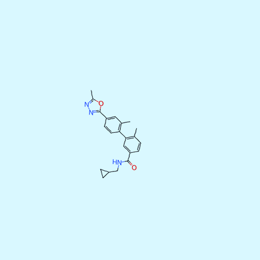 Cc1nnc(-c2ccc(-c3cc(C(=O)NCC4CC4)ccc3C)c(C)c2)o1